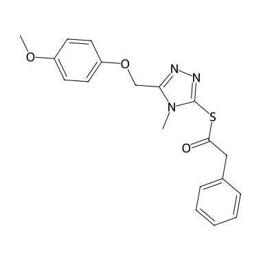 COc1ccc(OCc2nnc(SC(=O)Cc3ccccc3)n2C)cc1